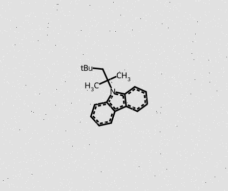 CC(C)(C)CC(C)(C)n1c2ccccc2c2ccccc21